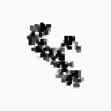 CN(C)CCNc1nc(Nc2cccc(S(=N)(=O)C3CC3)c2)ncc1-c1ccc(NC(=O)Nc2cc(C(F)(F)F)ccc2F)c(F)c1